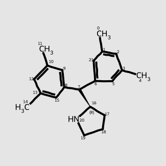 Cc1cc(C)cc(C(c2cc(C)cc(C)c2)[C@H]2CCCN2)c1